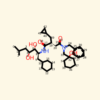 CC(C)C[C@H](O)[C@H](O)[C@H](CC1CCCCC1)NC(=O)[C@@H](CC(=O)N(Cc1ccccc1)CC1(O)CCCCC1)CC1CC1